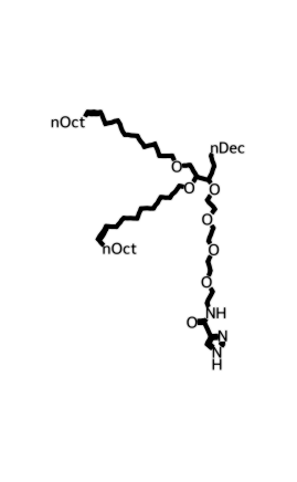 CCCCCCCC/C=C\CCCCCCCCOCC(OCCCCCCCC/C=C\CCCCCCCC)C(CCCCCCCCCCCC)OCCOCCOCCOCCNC(=O)c1c[nH]cn1